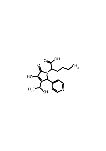 CCCCC(C(=O)O)N1C(=O)C(O)=C(C(C)S)C1c1ccncc1